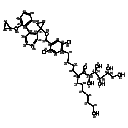 O=C([C@H](O)[C@@H](O)[C@H](O)[C@H](O)CO)N(CCCCCCO)CCCCc1cc(Cl)c(COC2(c3cnccc3-c3ccccc3OC3CC3)CC2)cc1Cl